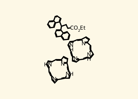 C1=Cc2cc3ccc(cc4nc(cc5ccc(cc1n2)[nH]5)C=C4)[nH]3.C1=Cc2cc3ccc(cc4nc(cc5ccc(cc1n2)[nH]5)C=C4)[nH]3.CCOC(=O)CCC(c1cccc2ccccc12)c1cccc2ccccc12